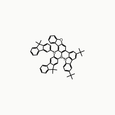 CC(C)(C)c1ccc2c(c1)c1cc(C(C)(C)C)cc3c1n2B1c2cc4c(cc2N(c2ccc5c(c2)-c2ccccc2C5(C)C)c2c1c-3cc1oc3ccccc3c21)-c1ccccc1C4(C)C